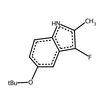 Cc1[nH]c2ccc(OC(C)(C)C)cc2c1F